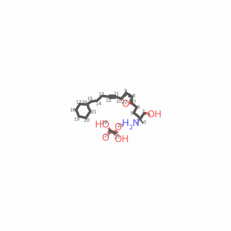 C[C@](N)(CO)CCc1ccc(C#CCCCC2CCCCC2)o1.O=C(O)C(=O)O